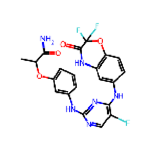 CC(Oc1cccc(Nc2ncc(F)c(Nc3ccc4c(c3)NC(=O)C(F)(F)O4)n2)c1)C(N)=O